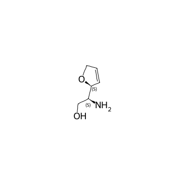 N[C@@H](CO)[C@@H]1C=CCO1